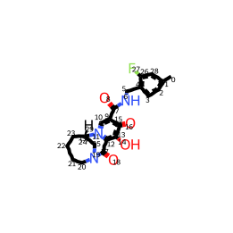 Cc1ccc(CNC(=O)c2cn3c(c(O)c2=O)C(=O)N2CCCC[C@H]3C2)c(F)c1